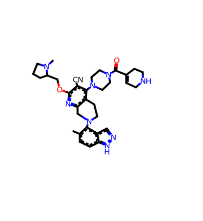 Cc1ccc2[nH]ncc2c1N1CCc2c(nc(OCC3CCCN3C)c(C#N)c2N2CCN(C(=O)C3=CCNCC3)CC2)C1